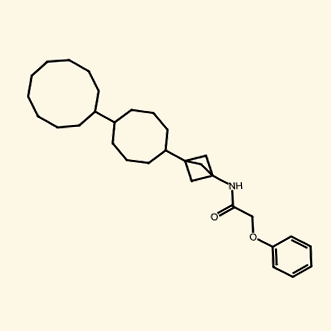 O=C(COc1ccccc1)NC12CC(C3CCCC(C4CCCCCCCCC4)CCC3)(C1)C2